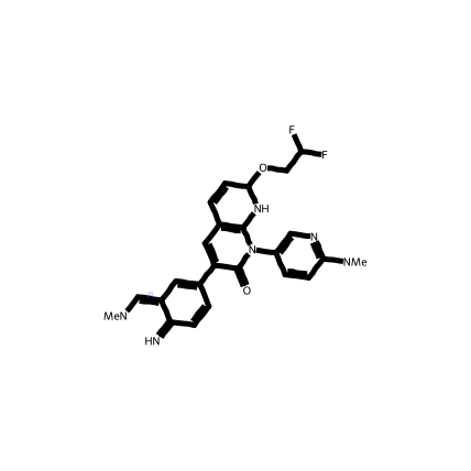 CN/C=C1/C=C(c2cc3c(n(-c4ccc(NC)nc4)c2=O)NC(OCC(F)F)C=C3)C=CC1=N